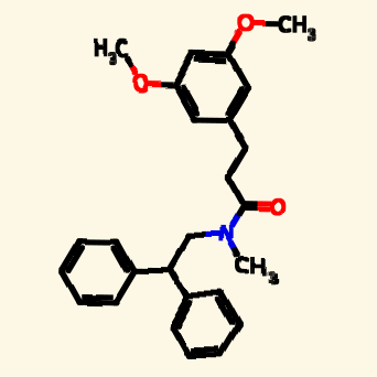 COc1cc(CCC(=O)N(C)CC(c2ccccc2)c2ccccc2)cc(OC)c1